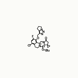 CC(C)(C)OC(=O)N1CCc2c(Cl)cc(F)c(OCc3nnn4c3CCC4)c2[C@H]1CN1CC2(CC2)CC1=O